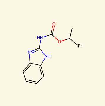 CC(C)C(C)OC(=O)Nc1nc2ccccc2[nH]1